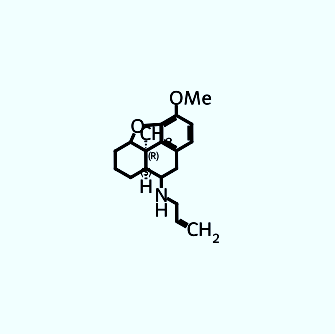 C=CCNC1Cc2ccc(OC)c3c2[C@]2(C)C(CCC[C@H]12)O3